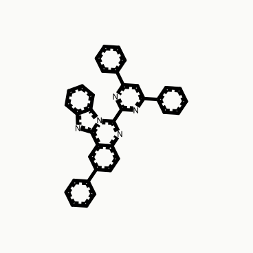 c1ccc(-c2ccc3nc(-c4nc(-c5ccccc5)cc(-c5ccccc5)n4)n4c5ccccc5nc4c3c2)cc1